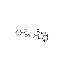 O=C(ON1CCC(c2nc3nccnc3[nH]c2=O)CC1)c1ccccc1